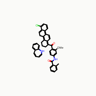 C1=CNc2ccccc2C=C1.COc1cc(NC(=O)c2ccccc2C)ccc1C(=O)C1=c2ccc3c(c2CCC1)CC=c1c(Cl)cccc1=3